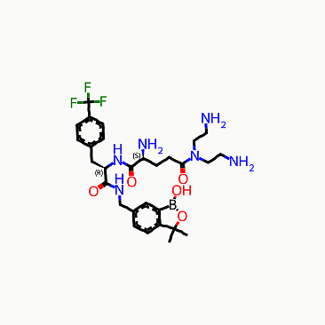 CC1(C)OB(O)c2cc(CNC(=O)[C@@H](Cc3ccc(C(F)(F)F)cc3)NC(=O)[C@@H](N)CCC(=O)N(CCN)CCN)ccc21